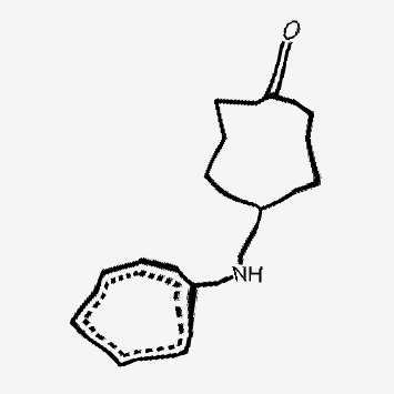 O=C1CCC(Nc2ccccc2)CC1